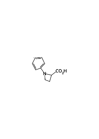 O=C(O)C1CCN1c1cc[c]cc1